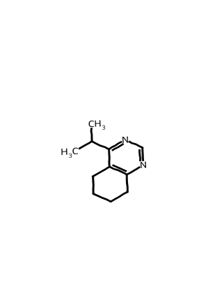 CC(C)c1ncnc2c1CCCC2